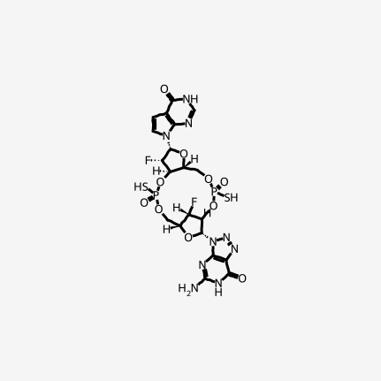 Nc1nc2c(nnn2[C@@H]2O[C@@H]3COP(=O)(S)O[C@H]4[C@H](F)[C@H](n5ccc6c(=O)[nH]cnc65)O[C@@H]4COP(=O)(S)O[C@@H]2[C@H]3F)c(=O)[nH]1